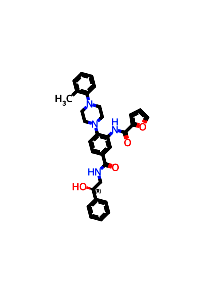 Cc1ccccc1N1CCN(c2ccc(C(=O)NC[C@H](O)c3ccccc3)cc2NC(=O)c2ccco2)CC1